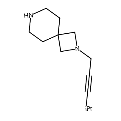 CC(C)C#CCN1CC2(CCNCC2)C1